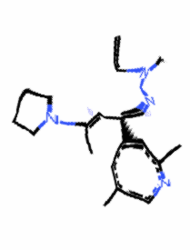 C=CN(C)/N=C(\C=C(/C)N1CCCC1)c1cc(C)cnc1C